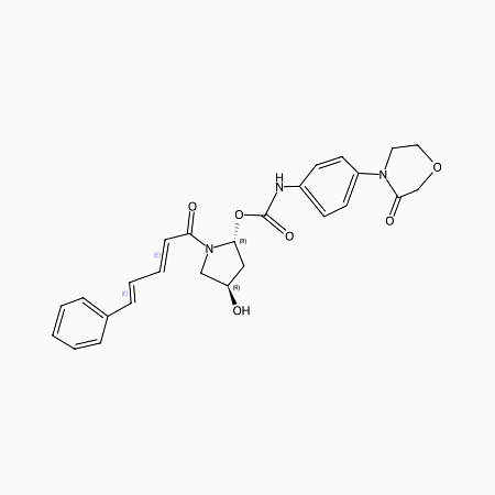 O=C(Nc1ccc(N2CCOCC2=O)cc1)O[C@@H]1C[C@@H](O)CN1C(=O)/C=C/C=C/c1ccccc1